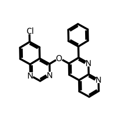 Clc1ccc2ncnc(Oc3cc4cccnc4nc3-c3ccccc3)c2c1